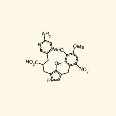 COc1cc(Cc2c[pH]c(CC(Cc3ccc(N)nc3)C(=O)O)c2O)c([N+](=O)[O-])cc1OC